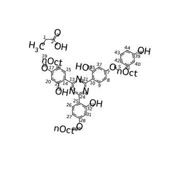 CCC(=O)O.CCCCCCCCOc1ccc(-c2nc(-c3ccc(OCCCCCCCC)cc3O)nc(-c3ccc(OCCCCCCCC)cc3O)n2)c(O)c1.Oc1ccccc1